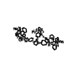 CC(C)(C)c1ccc(N2[C@@H](c3ccc4[nH]c([C@@H]5CCCN5C(=O)[C@](C)(NC(=O)O)c5ccccc5)nc4c3)CC[C@@H]2c2ccc3[nH]c([C@@H]4CCCN4C(=O)[C@](C)(NC(=O)O)c4ccccc4)nc3c2)cc1